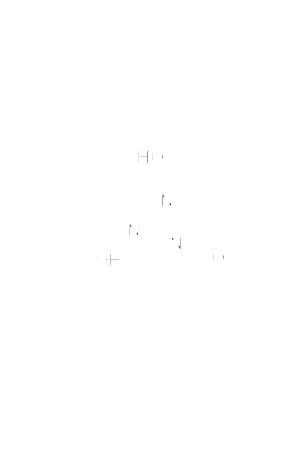 C=CC(O)N1CN(C(=O)CC)CN(C(O)CC)C1